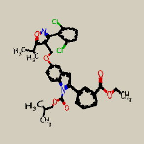 CCOC(=O)c1cccc(-c2cc3cc(OCc4c(-c5c(Cl)cccc5Cl)noc4C(C)C)ccc3n2C(=O)OCC(C)C)c1